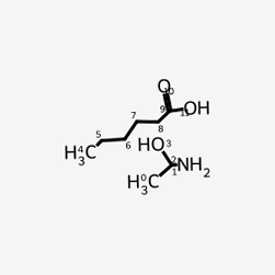 CC(N)O.CCCCCC(=O)O